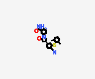 Cc1cccc(C)c1Sc1cc([C@H]2CC(=O)N(c3cccc(C(N)=O)c3)C2)ccc1C#N